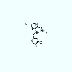 N#Cc1cnc(C(N)=O)c(NCc2ccc(Cl)c(Cl)c2)n1